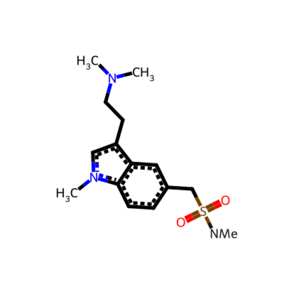 CNS(=O)(=O)Cc1ccc2c(c1)c(CCN(C)C)cn2C